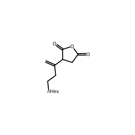 C=C(CCCCCCCC)C1CC(=O)OC1=O